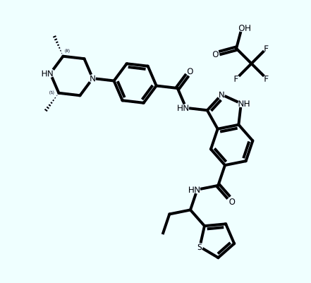 CCC(NC(=O)c1ccc2[nH]nc(NC(=O)c3ccc(N4C[C@@H](C)N[C@@H](C)C4)cc3)c2c1)c1cccs1.O=C(O)C(F)(F)F